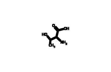 C[C](O)[C](N)C(=O)O